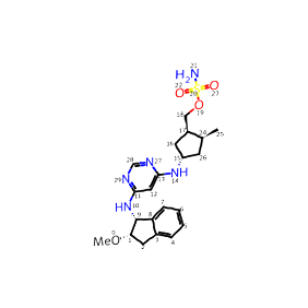 CO[C@H]1Cc2ccccc2[C@H]1Nc1cc(N[C@@H]2C[C@@H](COS(N)(=O)=O)[C@@H](C)C2)ncn1